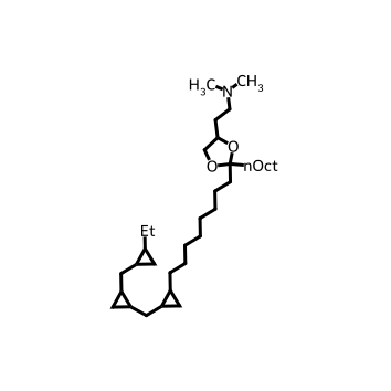 CCCCCCCCC1(CCCCCCCCC2CC2CC2CC2CC2CC2CC)OCC(CCN(C)C)O1